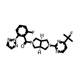 CC(C)(F)c1ccnc(N2C[C@H]3CN(C(=O)c4c(F)cccc4-n4nccn4)C[C@H]3C2)n1